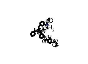 CC(=O)O/N=C(/N)c1cccc(CC(NS(=O)(=O)c2cccc(NC(=O)C3CCN(C(=O)OC(C)(C)C)CC3)c2)c2nc3ccccc3s2)c1